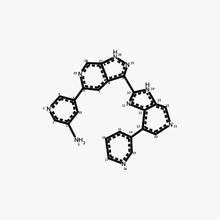 Nc1cncc(-c2cc3c(-c4nc5c(-c6cccnc6)cncc5[nH]4)n[nH]c3cn2)c1